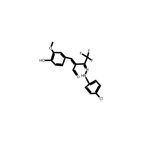 COc1cc(/C=C(C=O)/C(=N\Nc2ccc(Cl)cc2)C(F)(F)F)ccc1O